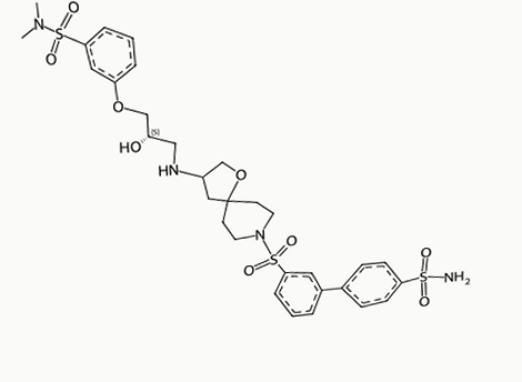 CN(C)S(=O)(=O)c1cccc(OC[C@@H](O)CNC2COC3(CCN(S(=O)(=O)c4cccc(-c5ccc(S(N)(=O)=O)cc5)c4)CC3)C2)c1